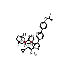 Nc1c(C2CC2)c([C@@H]2C[C@H]3CC[C@@H](C2)N3C(=O)c2nnc[nH]2)nc2c(-c3ccc(-c4ccc(OC(F)F)cc4)nc3)cnn12